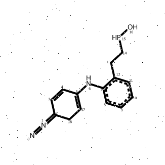 [N-]=[N+]=C1C=CC(Nc2ccccc2CCPO)=CC1